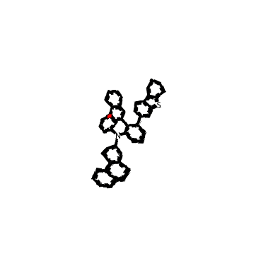 c1ccc(N(c2ccc3c(ccc4ccccc43)c2)c2cccc(-c3ccc4c(c3)sc3ccccc34)c2-c2ccc3ccccc3c2)cc1